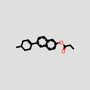 CCC(=O)Oc1ccc2cc(C3=CCC(C)CC3)ccc2c1